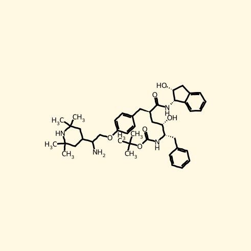 CC1(C)CC(C(N)COc2ccc(C[C@H](C[C@H](O)[C@H](Cc3ccccc3)NC(=O)OC(C)(C)C)C(=O)N[C@H]3c4ccccc4C[C@H]3O)cc2)CC(C)(C)N1